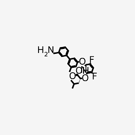 Cc1cc(Oc2nc(O[C@H](CC(C)C)C(=O)O)c(F)cc2F)cc(-c2cccc(CN)c2)c1